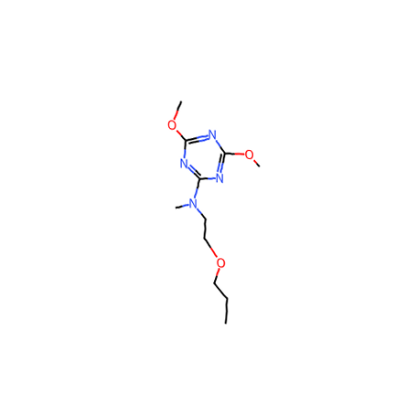 CCCOCCN(C)c1nc(OC)nc(OC)n1